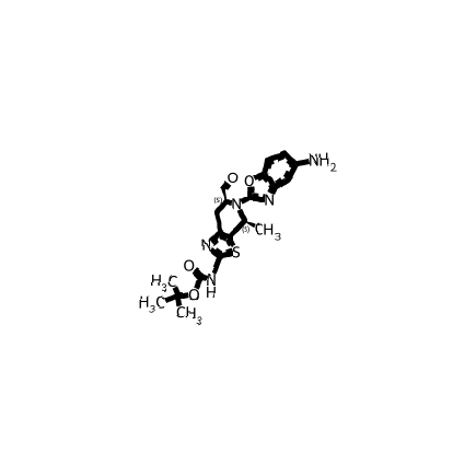 C[C@H]1c2sc(NC(=O)OC(C)(C)C)nc2C[C@@H](C=O)N1c1nc2cc(N)ccc2o1